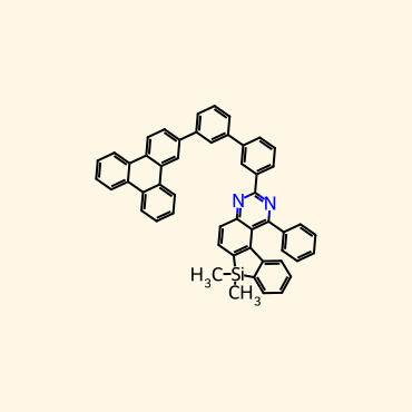 C[Si]1(C)c2ccccc2-c2c1ccc1nc(-c3cccc(-c4cccc(-c5ccc6c7ccccc7c7ccccc7c6c5)c4)c3)nc(-c3ccccc3)c21